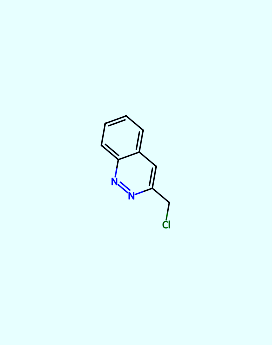 ClCc1cc2ccccc2nn1